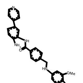 COc1ccc(NCc2ccc(C(=O)Nc3cc(-c4ccncc4)ccc3N)cc2)cc1OC